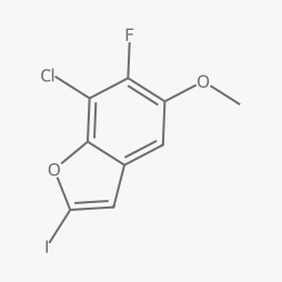 COc1cc2cc(I)oc2c(Cl)c1F